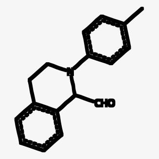 Cc1ccc(N2CCc3ccccc3C2C=O)cc1